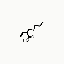 [CH2]CCCCC(C=C)C(=O)O